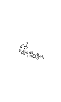 NS(=O)(=O)c1ccc(NC(=O)CSc2nnc(Br)n2-c2ccc(C3CC3)c3ccncc23)c(Cl)c1